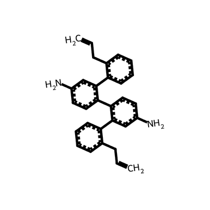 C=CCc1ccccc1-c1cc(N)ccc1-c1ccc(N)cc1-c1ccccc1CC=C